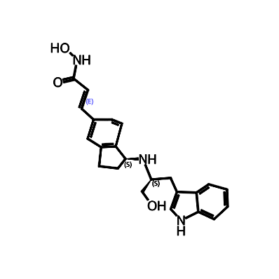 O=C(/C=C/c1ccc2c(c1)CC[C@@H]2N[C@H](CO)Cc1c[nH]c2ccccc12)NO